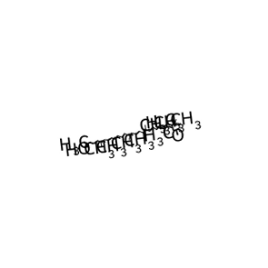 CC1=C(/C=C/C(C)=C/C=C/C(C)=C/C=C/C=C(C)/C=C/C=C(C)/C=C/C=C(C)/C=C/CC(C)(C)O)C(C)(C)CCC1=O